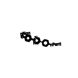 CCCCCCCCCOc1ccc(-c2ncc([C@H]3CC[C@H](CCCCC)CC3)cn2)cc1